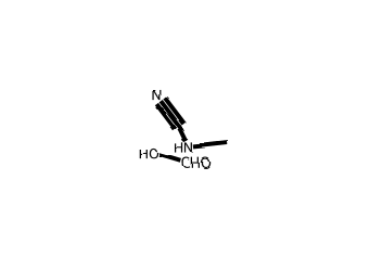 CNC#N.O=CO